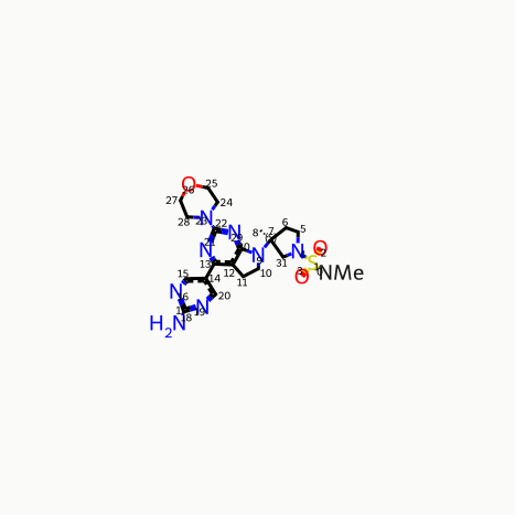 CNS(=O)(=O)N1CC[C@](C)(N2CCc3c(-c4cnc(N)nc4)nc(N4CCOCC4)nc32)C1